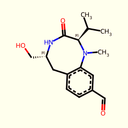 CC(C)[C@@H]1C(=O)N[C@@H](CO)Cc2ccc(C=O)cc2N1C